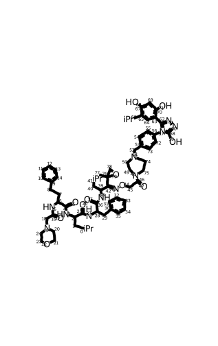 CC(C)CC(NC(=O)C(CCc1ccccc1)NC(=O)CN1CCOCC1)C(=O)NC(Cc1ccccc1)C(=O)NC(CC(C)C)C(=NOCC(=O)N1CCN(Cc2ccc(-n3c(O)nnc3-c3cc(C(C)C)c(O)cc3O)cc2)CC1)C1(C)CO1